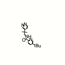 CC(C)(C)c1ccc(C(=O)NCC(C)(C)c2ccnnc2)nc1